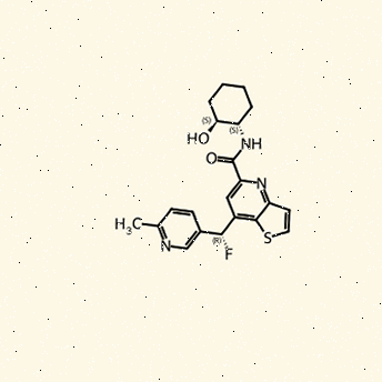 Cc1ccc([C@@H](F)c2cc(C(=O)N[C@H]3CCCC[C@@H]3O)nc3ccsc23)cn1